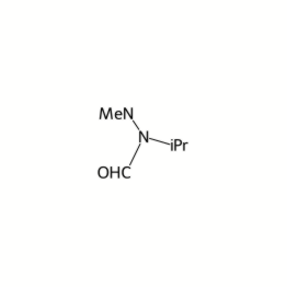 CNN(C=O)C(C)C